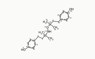 C[Si](C)(CCc1ccc(O)cc1)NO[Si](C)(C)CCc1ccc(O)cc1